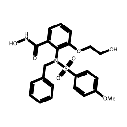 COc1ccc(S(=O)(=O)N(Cc2ccccc2)c2c(OCCO)cccc2C(=O)NO)cc1